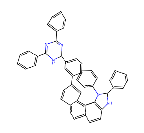 c1ccc(C2=NC(c3cccc(-c4ccc5ccc6ccc7c(c6c5c4)N(c4ccccc4)C(c4ccccc4)N7)c3)NC(c3ccccc3)=N2)cc1